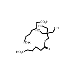 CCCCCCCCCCCCCCCC(=O)O.O=C(O)CCCCC(=O)OCC(CO)(CO)CO